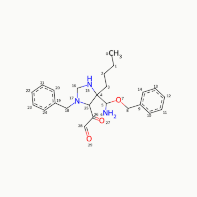 CCCCC1(C(N)OCc2ccccc2)NCN(Cc2ccccc2)C1C(=O)C=O